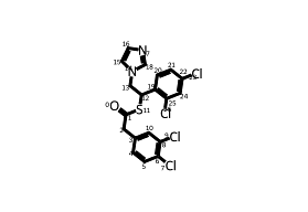 O=C(Cc1ccc(Cl)c(Cl)c1)SC(Cn1ccnc1)c1ccc(Cl)cc1Cl